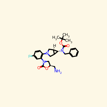 CC(C)(C)OC(=O)N(Cc1ccccc1)[C@@H]1C2CN(c3ccc(F)cc3N3C[C@@H](CN)OC3=O)C[C@H]21